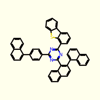 c1ccc2c(-c3ccc(-c4nc(-c5c(-c6cccc7ccccc67)ccc6ccccc56)nc(-c5cccc6c5sc5ccccc56)n4)cc3)cccc2c1